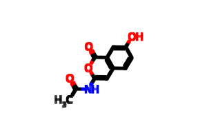 CC(=O)Nc1cc2ccc(O)cc2c(=O)o1